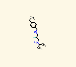 C=C(C)NCC(F)CNCc1ccc(CC)cc1